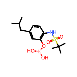 CC(C)Cc1ccc(NS(=O)(=O)C(C)(C)C)c(OB(O)O)c1